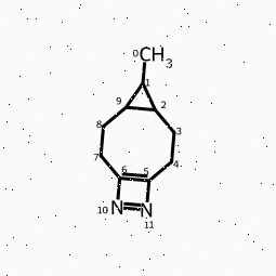 CC1C2CCC3=C(CCC12)N=N3